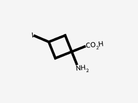 NC1(C(=O)O)CC(I)C1